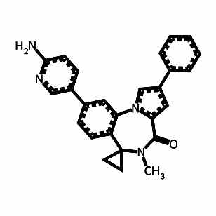 CN1C(=O)c2cc(-c3ccccc3)cn2-c2cc(-c3ccc(N)nc3)ccc2C12CC2